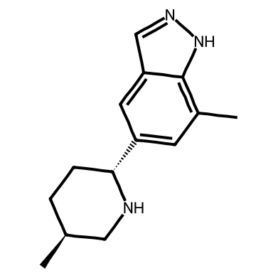 Cc1cc([C@H]2CC[C@H](C)CN2)cc2cn[nH]c12